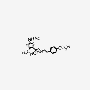 CC(=O)Nc1nc(C)c(C(O)CNCCc2ccc(C(=O)O)cc2)s1